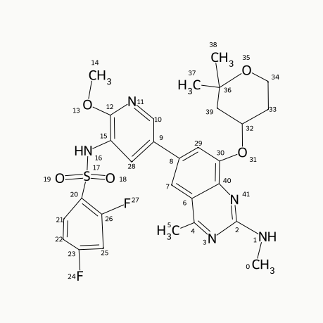 CNc1nc(C)c2cc(-c3cnc(OC)c(NS(=O)(=O)c4ccc(F)cc4F)c3)cc(OC3CCOC(C)(C)C3)c2n1